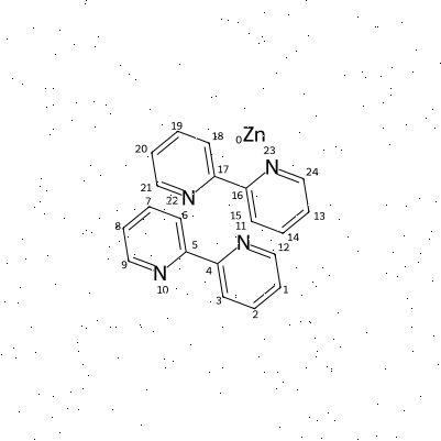 [Zn].c1ccc(-c2ccccn2)nc1.c1ccc(-c2ccccn2)nc1